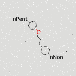 CCCCCCCCCC1CCC(CCCOc2ccc(CCCCC)cc2)CC1